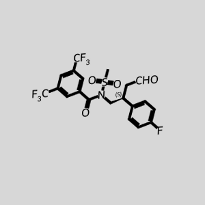 CS(=O)(=O)N(C[C@@H](CC=O)c1ccc(F)cc1)C(=O)c1cc(C(F)(F)F)cc(C(F)(F)F)c1